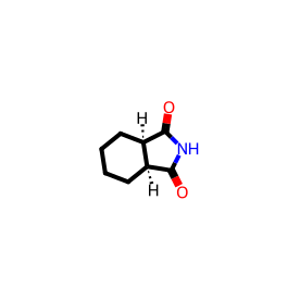 O=C1NC(=O)[C@@H]2CCCC[C@H]12